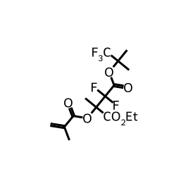 C=C(C)C(=O)OC(C)(C(=O)OCC)C(F)(F)C(=O)OC(C)(C)C(F)(F)F